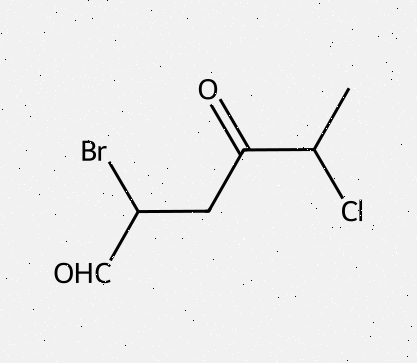 CC(Cl)C(=O)CC(Br)C=O